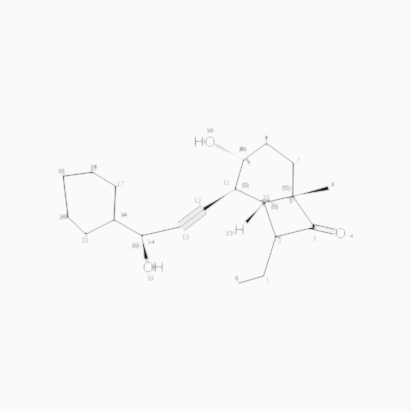 CCC1C(=O)[C@@]2(C)CC[C@@H](O)[C@H](C#C[C@@H](O)C3CCCCC3)[C@@H]12